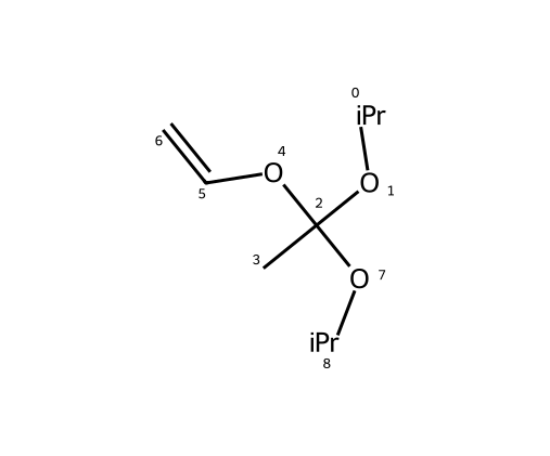 [CH2]C(C)OC(C)(OC=C)OC(C)C